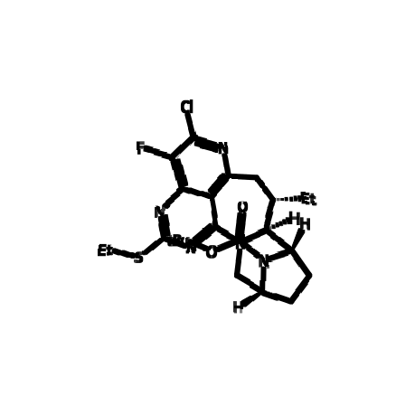 CCSc1nc2c3c(nc(Cl)c(F)c3n1)C[C@H](CC)[C@H]1[C@@H]3CC[C@H](CN21)N3C(=O)OC(C)(C)C